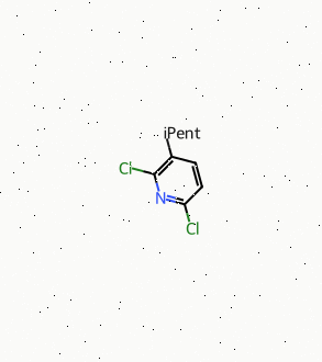 CCCC(C)c1ccc(Cl)nc1Cl